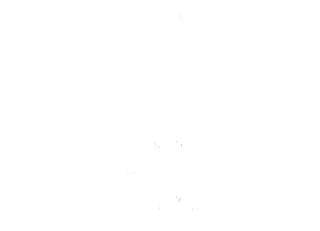 COc1ccc(Cn2cc([N+](=O)O)c(C)n2)cc1